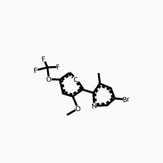 COc1cc(OC(F)(F)F)ccc1-c1ncc(Br)cc1C